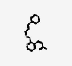 C=C(C)/C=C\c1cccnc1C/N=C\C=C\c1ccccc1